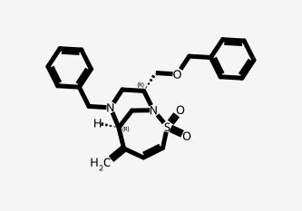 C=C1C=CS(=O)(=O)N2C[C@@H]1N(Cc1ccccc1)C[C@@H]2COCc1ccccc1